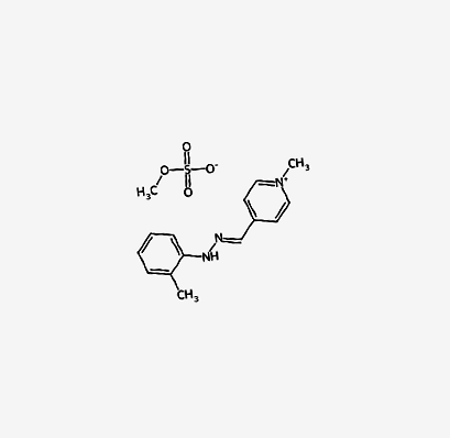 COS(=O)(=O)[O-].Cc1ccccc1NN=Cc1cc[n+](C)cc1